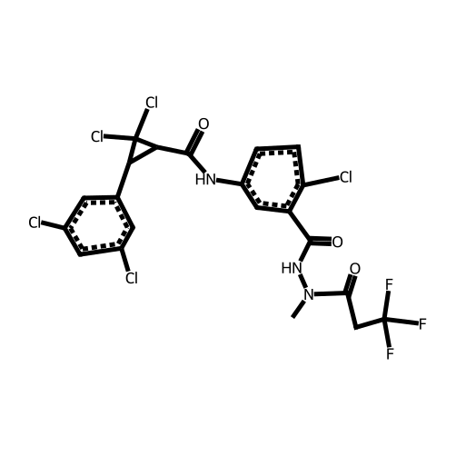 CN(NC(=O)c1cc(NC(=O)C2C(c3cc(Cl)cc(Cl)c3)C2(Cl)Cl)ccc1Cl)C(=O)CC(F)(F)F